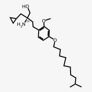 COc1cc(OCCCCCCCCC(C)C)ccc1CC[C@@](N)(CO)CC1CC1